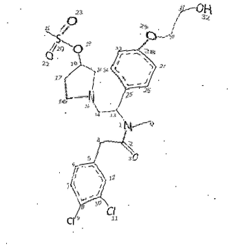 CN(C(=O)Cc1ccc(Cl)c(Cl)c1)C(CN1CCC(OS(C)(=O)=O)C1)c1ccc(OCCO)cc1